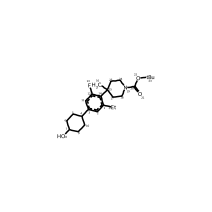 CCc1cc(C2CCC(O)CC2)cc(F)c1C1(C)CCN(C(=O)OC(C)(C)C)CC1